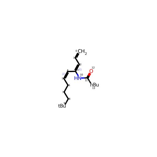 C=C/C=C(\C=C/CCCC(C)(C)C)NC(=O)CCCC